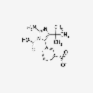 CC(C)(C)c1nc(N)n(C(=O)O)c1-c1cccc([N+](=O)[O-])c1